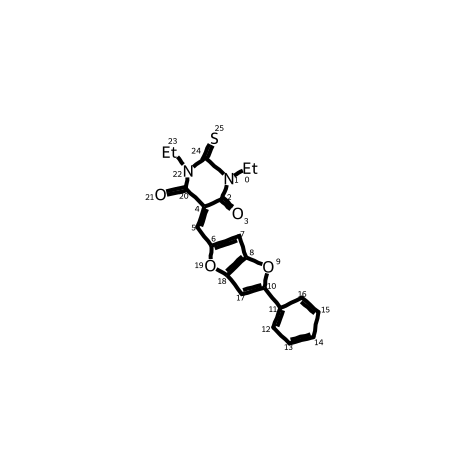 CCN1C(=O)C(=Cc2cc3oc(-c4ccccc4)cc3o2)C(=O)N(CC)C1=S